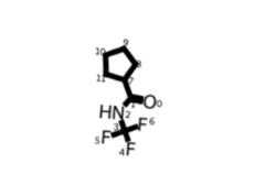 O=C(NC(F)(F)F)C1CCCC1